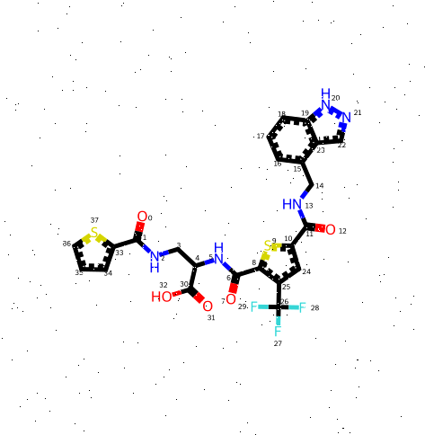 O=C(NCC(NC(=O)c1sc(C(=O)NCc2cccc3[nH]ncc23)cc1C(F)(F)F)C(=O)O)c1cccs1